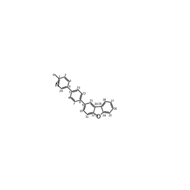 Cc1ccc(-c2ccc(-c3ccc4oc5ccccc5c4c3)cc2)cn1